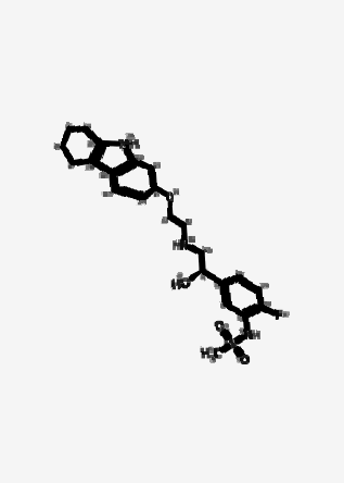 CS(=O)(=O)Nc1cc([C@@H](O)CNCCOc2ccc3c4c([nH]c3c2)CCCC4)ccc1F